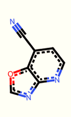 N#Cc1ccnc2ncoc12